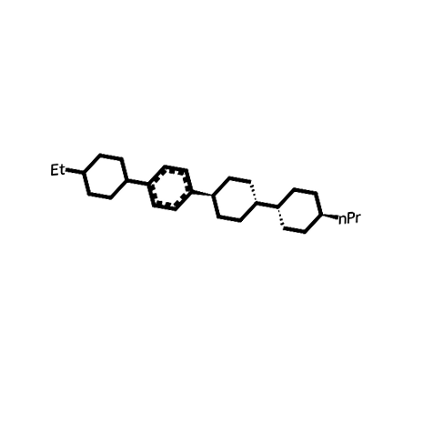 CCC[C@H]1CC[C@H]([C@H]2CC[C@H](c3ccc(C4CCC(CC)CC4)cc3)CC2)CC1